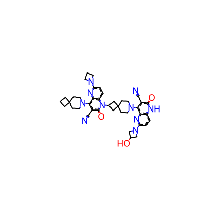 N#Cc1c(N2CCC3(CC2)CC(n2c(=O)c(C#N)c(N4CCC5(CCC5)CC4)c4nc(N5CCC5)ccc42)C3)c2nc(N3CC(O)C3)ccc2[nH]c1=O